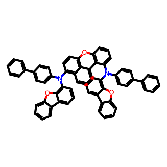 c1ccc(-c2ccc(N(c3cccc4c3-c3cccc5c(N(c6ccc(-c7ccccc7)cc6)c6cccc7c6oc6ccccc67)ccc(c35)O4)c3cccc4c3oc3ccccc34)cc2)cc1